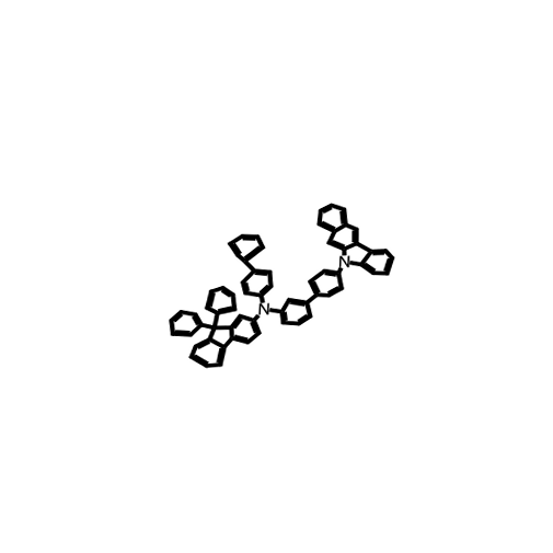 c1ccc(-c2ccc(N(c3cccc(-c4ccc(-n5c6ccccc6c6cc7ccccc7cc65)cc4)c3)c3ccc4c(c3)C(c3ccccc3)(c3ccccc3)c3ccccc3-4)cc2)cc1